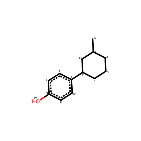 CC1CCCC(c2ccc(O)cc2)C1